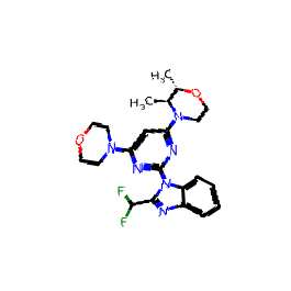 C[C@@H]1OCCN(c2cc(N3CCOCC3)nc(-n3c(C(F)F)nc4ccccc43)n2)[C@H]1C